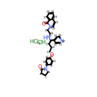 Cl.Cl.O=C1CCCN1c1ccc(OCCCC(NCCn2ccc3ccccc3c2=O)c2ccncc2)cc1